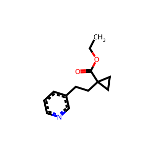 CCOC(=O)C1(CCc2cccnc2)CC1